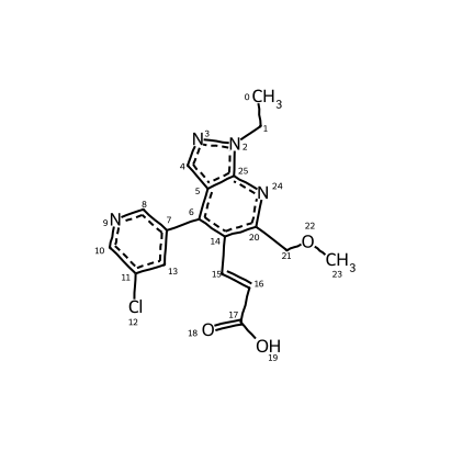 CCn1ncc2c(-c3cncc(Cl)c3)c(/C=C/C(=O)O)c(COC)nc21